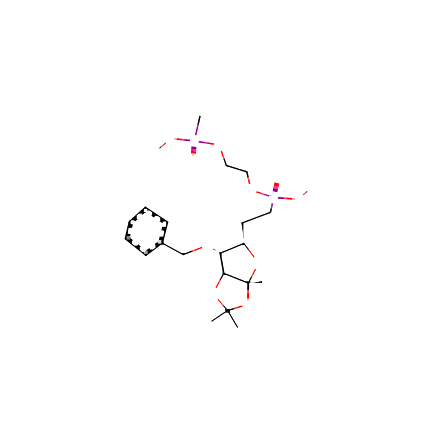 CCOP(C)(=O)OCCOP(=O)(CC[C@H]1O[C@@H]2OC(C)(C)OC2[C@H]1OCc1ccccc1)OCC